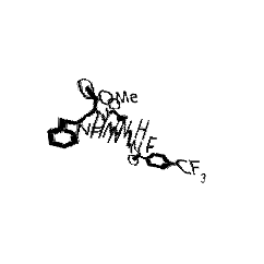 COC(=O)C(Cc1cc2ccccc2[nH]1)NC(=O)c1cn(CCNC(=O)c2ccc(C(F)(F)F)cc2F)nn1